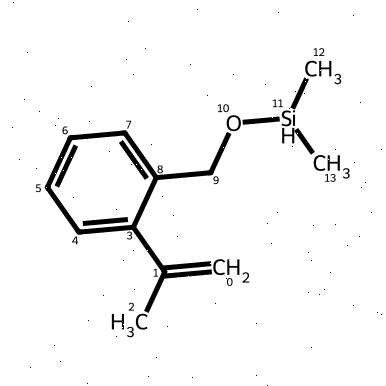 C=C(C)c1ccccc1CO[SiH](C)C